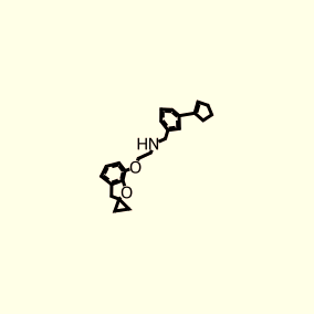 C1=C(c2cccc(CNCCOc3cccc4c3OC3(CC3)C4)c2)CCC1